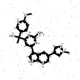 COc1ccc(C(C)(O)c2cc(-c3c[nH]c4ncc(-c5cnn(C)c5)cc34)nc(N)n2)cn1